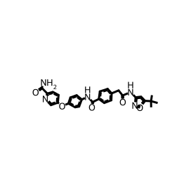 CC(C)(C)c1cc(NC(=O)Cc2ccc(C(=O)Nc3ccc(Oc4ccc(C(N)=O)nc4)cc3)cc2)no1